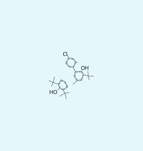 CC(C)(C)c1cccc(C(C)(C)C)c1O.Cc1cc(-c2[c]cc(Cl)cc2)c(O)c(C(C)(C)C)c1